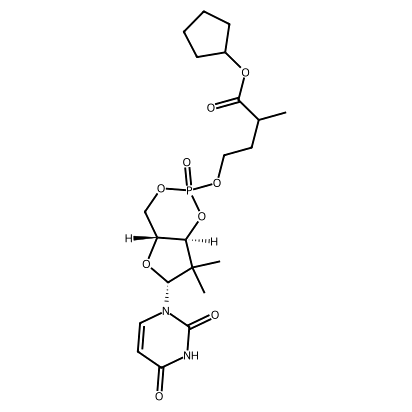 CC(CCOP1(=O)OC[C@H]2O[C@@H](n3ccc(=O)[nH]c3=O)C(C)(C)[C@@H]2O1)C(=O)OC1CCCC1